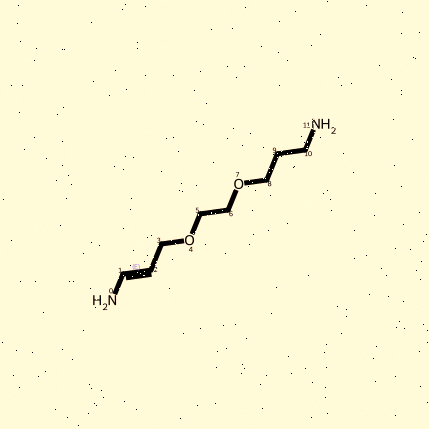 N/C=C/COCCOCCCN